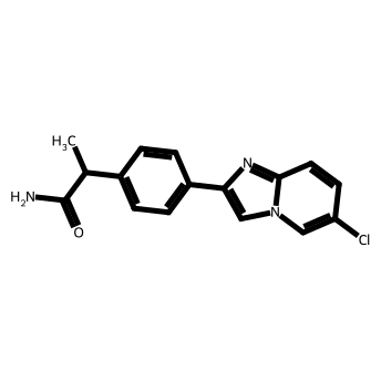 CC(C(N)=O)c1ccc(-c2cn3cc(Cl)ccc3n2)cc1